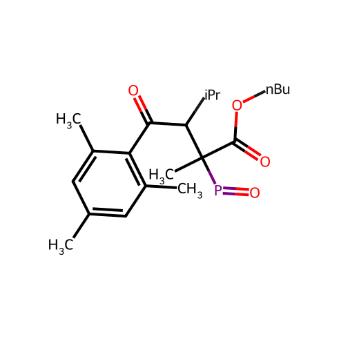 CCCCOC(=O)C(C)(P=O)C(C(=O)c1c(C)cc(C)cc1C)C(C)C